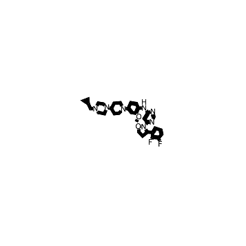 COc1cc(N2CCC(N3CCN(CC4CC4)CC3)CC2)ccc1Nc1cc(N2OCCC2c2cccc(F)c2F)ncn1